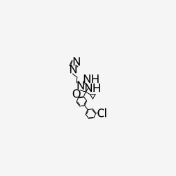 N=C1NC(c2cccc(-c3cccc(Cl)c3)c2)(C2CC2)C(=O)N1CCCn1ccnc1